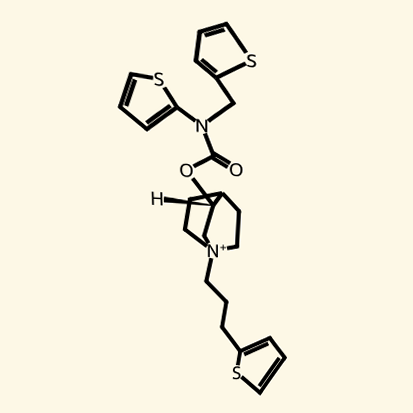 O=C(O[C@H]1C[N+]2(CCCc3cccs3)CCC1CC2)N(Cc1cccs1)c1cccs1